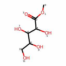 COC(=O)C(O)C(O)C(O)CO